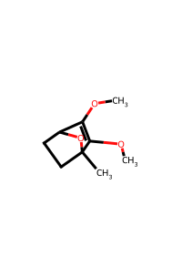 COC1=C(OC)C2(C)CCC1O2